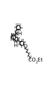 CCOC(=O)CCCCCCOc1ccc(-c2cc3c(NCc4ccccc4)ncnc3[nH]2)cc1